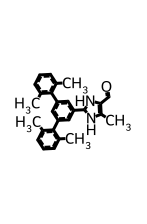 CC1=C(C=O)NC(c2cc(-c3c(C)cccc3C)cc(-c3c(C)cccc3C)c2)N1